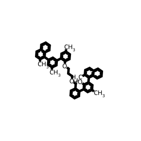 Cc1cc(-c2cc(C)ccc2OCCCOCc2ccccc2-c2cc(C)cc(-c3c(C)ccc4ccccc34)c2O)cc(-c2c(C)ccc3ccccc23)c1